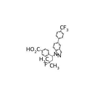 CC(C)(F)CC(c1ccc(C(=O)O)cc1)n1ncc2cc(-c3ccc(C(F)(F)F)cc3)ccc21